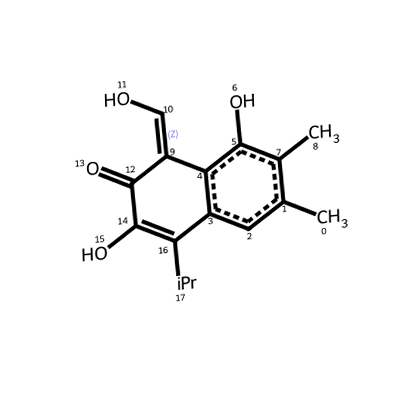 Cc1cc2c(c(O)c1C)/C(=C/O)C(=O)C(O)=C2C(C)C